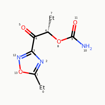 CCc1nc(C(=O)[C@H](CC)OC(N)=O)no1